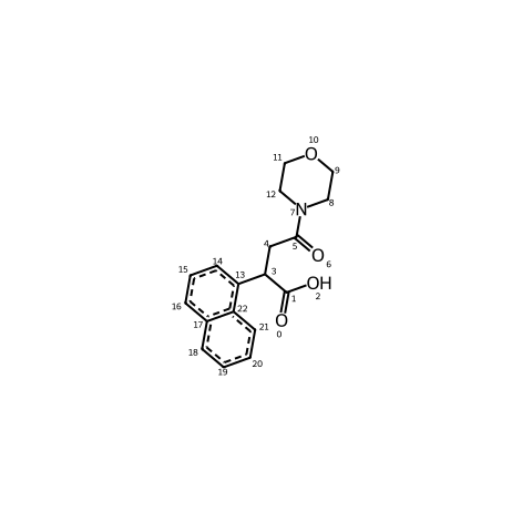 O=C(O)C(CC(=O)N1CCOCC1)c1cccc2ccccc12